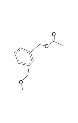 COCc1cccc(COC(C)=O)c1